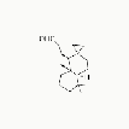 CC1(C)CCC[C@@]2(C)[C@H]1CCC1(CC1)[C@@H]2CCC=O